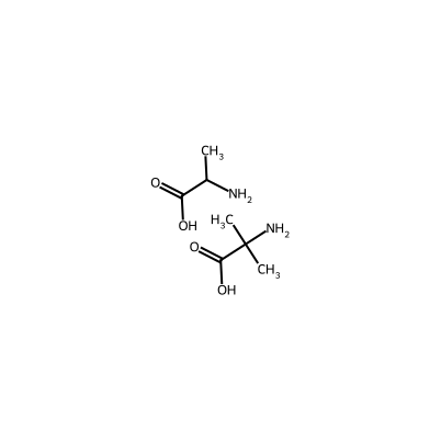 CC(C)(N)C(=O)O.CC(N)C(=O)O